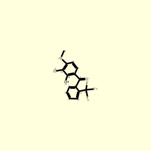 COc1ccc(C(=O)c2ccccc2C(F)(F)F)c(O)c1Cl